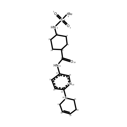 CC(C)(C)S(=O)(=O)NC1CCC(C(=O)Nc2ccc(N3CC=CCC3)nc2)CC1